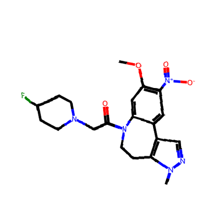 COc1cc2c(cc1[N+](=O)[O-])-c1cnn(C)c1CCN2C(=O)CN1CCC(F)CC1